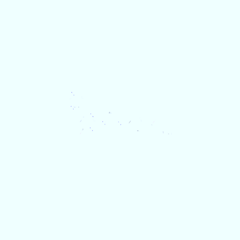 C[C@@H]1CN(c2ccc(C(=O)OC(C)(C)C)cc2)CCN1c1nc(-c2ccncn2)cc(=O)n1C